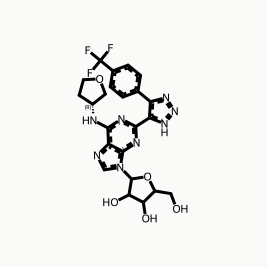 OCC1OC(n2cnc3c(N[C@@H]4CCOC4)nc(-c4[nH]nnc4-c4ccc(C(F)(F)F)cc4)nc32)C(O)C1O